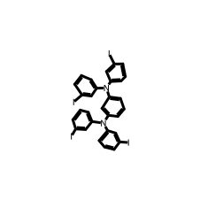 Ic1cccc(N(c2cccc(I)c2)c2cccc(N(c3cccc(I)c3)c3cccc(I)c3)c2)c1